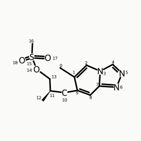 Cc1cn2cnnc2cc1C[C@@H](C)COS(C)(=O)=O